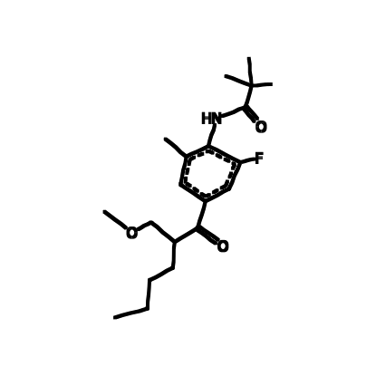 CCCCC(COC)C(=O)c1cc(C)c(NC(=O)C(C)(C)C)c(F)c1